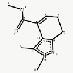 COC(=O)C1=CCCc2nn(C)c(C)c21